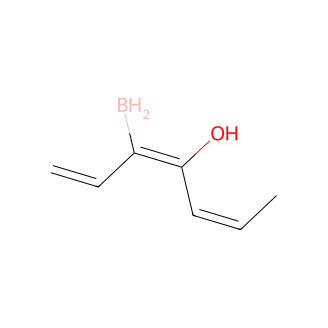 B/C(C=C)=C(O)/C=C\C